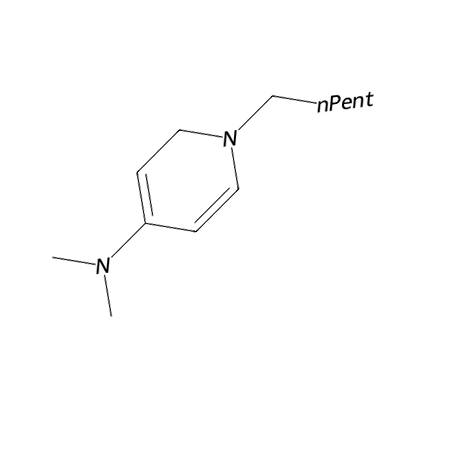 CCCCCCN1C=CC(N(C)C)=CC1